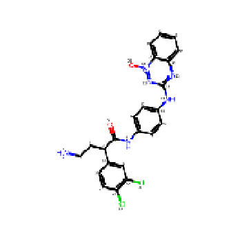 NCCC(C(=O)Nc1ccc(Nc2nc3ccccc3[n+]([O-])n2)cc1)c1ccc(Cl)c(Cl)c1